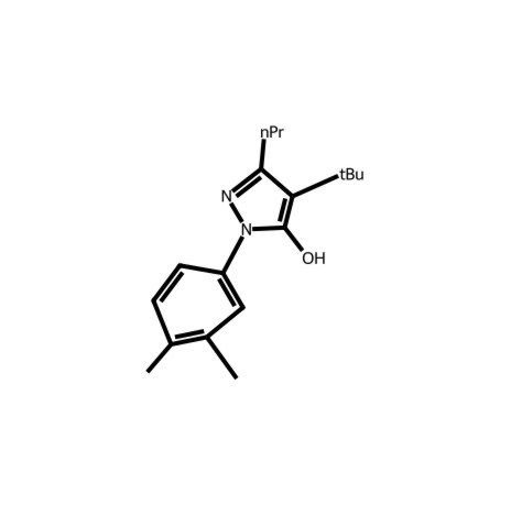 CCCc1nn(-c2ccc(C)c(C)c2)c(O)c1C(C)(C)C